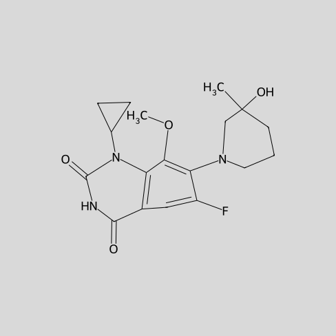 COc1c(N2CCCC(C)(O)C2)c(F)cc2c(=O)[nH]c(=O)n(C3CC3)c12